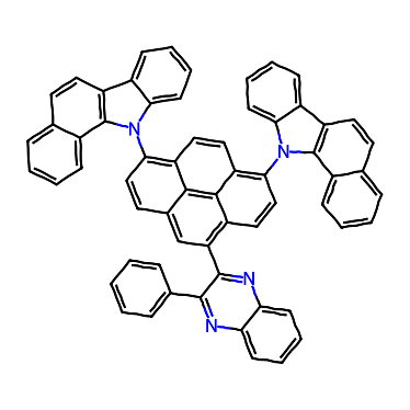 c1ccc(-c2nc3ccccc3nc2-c2cc3ccc(-n4c5ccccc5c5ccc6ccccc6c54)c4ccc5c(-n6c7ccccc7c7ccc8ccccc8c76)ccc2c5c34)cc1